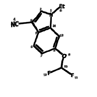 CCn1cc(C#N)c2ccc(OC(F)F)cc21